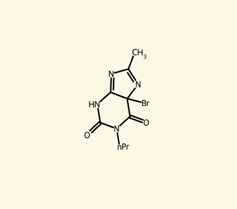 CCCN1C(=O)NC2=NC(C)=NC2(Br)C1=O